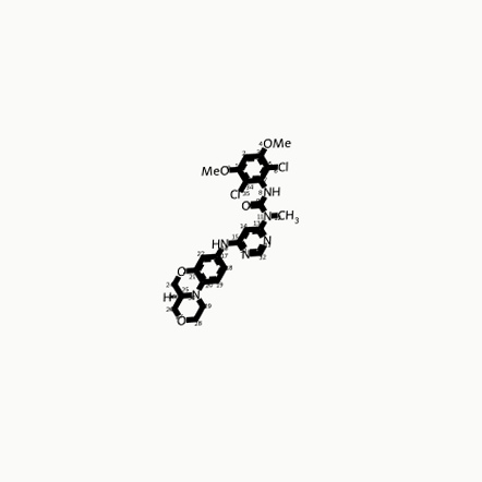 COc1cc(OC)c(Cl)c(NC(=O)N(C)c2cc(Nc3ccc4c(c3)OC[C@@H]3COCCN43)ncn2)c1Cl